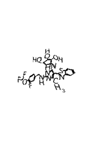 Cc1nc(NCc2ccc(OC(F)F)c(F)c2)nc(NC2C[C@H](CO)[C@@H](O)[C@H]2O)c1-c1nc2ccccc2s1